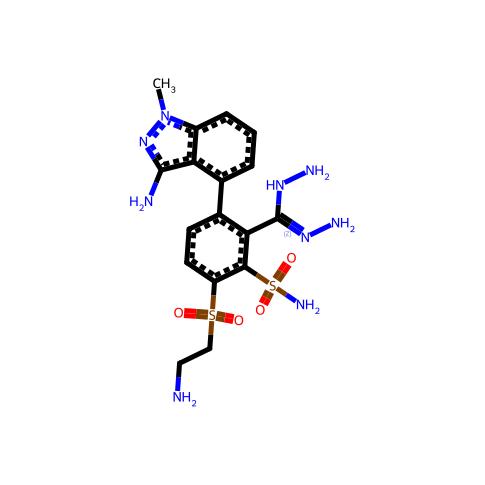 Cn1nc(N)c2c(-c3ccc(S(=O)(=O)CCN)c(S(N)(=O)=O)c3/C(=N/N)NN)cccc21